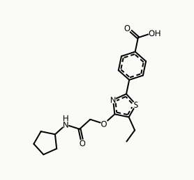 CCc1sc(-c2ccc(C(=O)O)cc2)nc1OCC(=O)NC1CCCC1